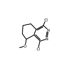 COC1CCCc2c(Cl)nnc(Cl)c21